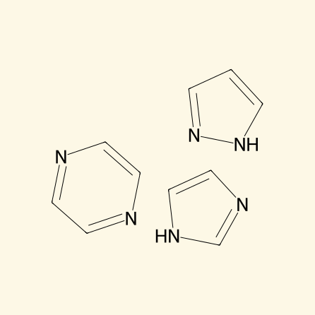 c1c[nH]cn1.c1cn[nH]c1.c1cnccn1